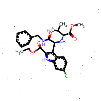 CCOC(=O)c1[nH]c2cc(Cl)ccc2c1C(N[C@H](C(=O)OC)C(C)C)C(=O)NCc1ccccc1